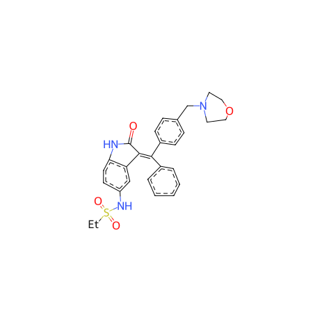 CCS(=O)(=O)Nc1ccc2c(c1)/C(=C(\c1ccccc1)c1ccc(CN3CCOCC3)cc1)C(=O)N2